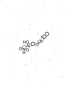 O=C1CCC(N2Cc3cc(O[C@H]4CCN(Cc5cc6ccccc6cn5)C4)ccc3C2O)C(=O)N1